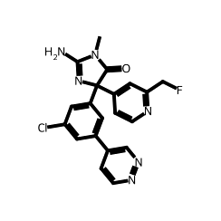 CN1C(=O)C(c2cc(Cl)cc(-c3ccnnc3)c2)(c2ccnc(CF)c2)N=C1N